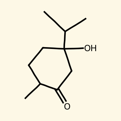 CC1CCC(O)(C(C)C)CC1=O